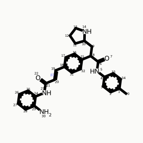 Cc1ccc(NC(=O)C(CC2CCCN2)c2ccc(/C=C/C(=O)Nc3ccccc3N)cc2)cc1